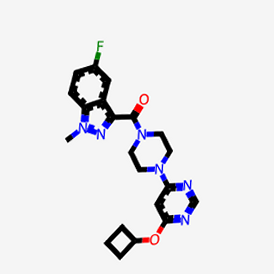 Cn1nc(C(=O)N2CCN(c3cc(OC4CCC4)ncn3)CC2)c2cc(F)ccc21